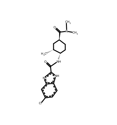 C[C@@H]1C[C@@H](C(=O)N(C)C)CC[C@@H]1NC(=O)c1nc2cc(Cl)ccc2[nH]1